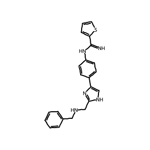 N=C(Nc1ccc(-c2c[nH]c(CNCc3ccccc3)n2)cc1)c1cccs1